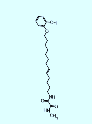 CNC(=O)C(=O)NCCCCC=CCCCCCCCOc1ccccc1O